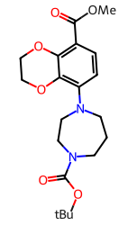 COC(=O)c1ccc(N2CCCN(C(=O)OC(C)(C)C)CC2)c2c1OCCO2